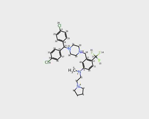 CN(CCN1CCCC1)c1ccc(C(F)(F)F)c(CN2CCN(C(c3ccc(Cl)cc3)c3ccc(Cl)cc3)CC2)c1